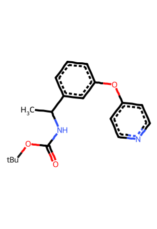 CC(NC(=O)OC(C)(C)C)c1cccc(Oc2ccncc2)c1